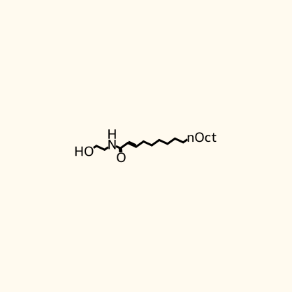 CCCCCCCCCCCCCCC=CC(=O)NCCO